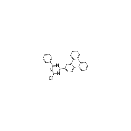 Clc1nc(-c2ccccc2)nc(-c2ccc3c4ccccc4c4ccccc4c3c2)n1